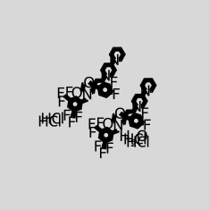 Cl.Cl.Cl.Cl.O.O=C1COC(CCN2CCC(N3CCCCC3)CC2)(c2ccc(F)c(F)c2)CN1Cc1cc(C(F)(F)F)cc(C(F)(F)F)c1.O=C1COC(CCN2CCC(N3CCCCC3)CC2)(c2ccc(F)c(F)c2)CN1Cc1cc(C(F)(F)F)cc(C(F)(F)F)c1